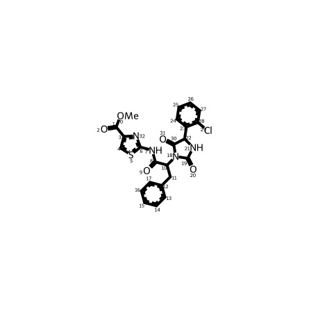 COC(=O)c1csc(NC(=O)C(Cc2ccccc2)N2C(=O)NC(c3ccccc3Cl)C2=O)n1